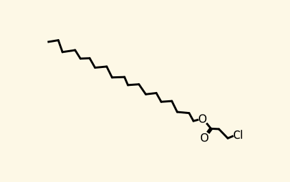 CCCCCCCCCCCCCCCCCCCOC(=O)CCCl